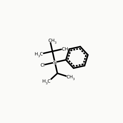 CC(C)[Si](Cl)(c1ccccc1)C(C)(C)C